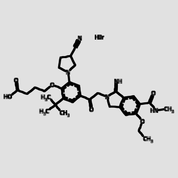 Br.CCOc1cc2c(cc1C(=O)NC)C(=N)N(CC(=O)c1cc(N3CCC(C#N)C3)c(OCCCC(=O)O)c(C(C)(C)C)c1)C2